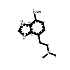 COc1ccc(CCN(C)C)c2nc[nH]c12